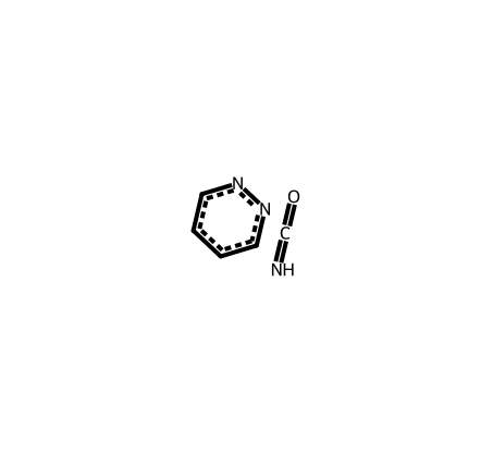 N=C=O.c1ccnnc1